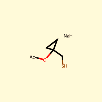 CC(=O)OC1(CS)CC1.[NaH]